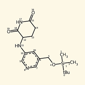 CC(C)(C)[Si](C)(C)OCc1cncc(NC2CCC(=O)NC2=O)c1